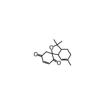 CC1=CC2C(CC1)C(C)(C)OC21CC(=O)C=CC1=O